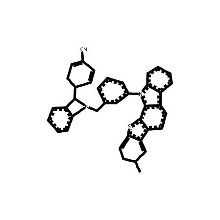 CC1C=c2c(sc3c2ccc2c4ccccc4n(-c4cccc(CN5c6ccccc6C5C5C=CC(C#N)=CC5)c4)c23)=CC1